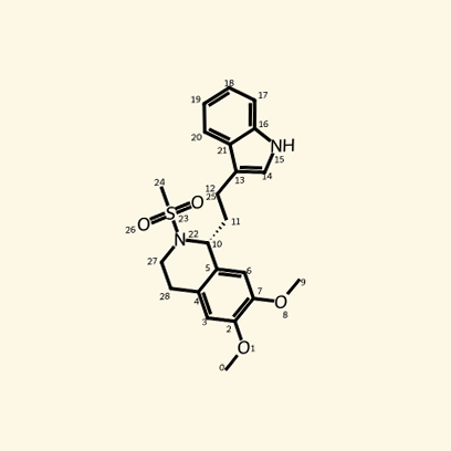 COc1cc2c(cc1OC)[C@@H](CCc1c[nH]c3ccccc13)N(S(C)(=O)=O)CC2